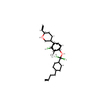 C=CCCC1CCC(C(F)(F)Oc2ccc(C3CCC(C=C)OC3)c(F)c2C(F)(F)F)CC1